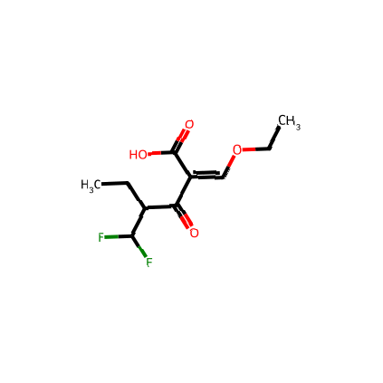 CCOC=C(C(=O)O)C(=O)C(CC)C(F)F